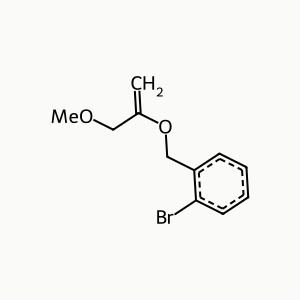 C=C(COC)OCc1ccccc1Br